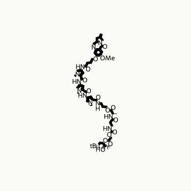 C=C1CC2C=Nc3cc(OCCCC(=O)Nc4cc(C(=O)Nc5cc(C(=O)Nc6cc(C(=O)NCCCOC(=O)[C@H](C)NC(=O)CCNC(=O)OCC(OC(C)C)OC(CO)CC(C)(C)C)n(C)c6)n(C)c5)n(C)c4)c(OC)cc3C(=O)N2C1